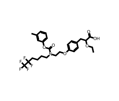 CCOC(Cc1ccc(OCCN(CCCCC(F)(F)C(F)(F)F)C(=O)Oc2cccc(C)c2)cc1)C(=O)O